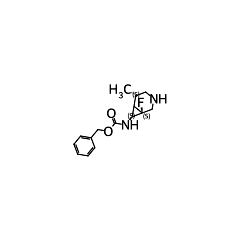 C[C@@H]1CNC[C@@]2(F)C1[C@@H]2NC(=O)OCc1ccccc1